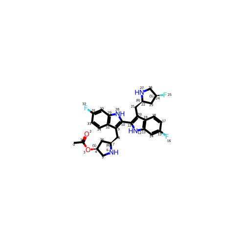 CC(=O)O[C@@H]1CN[C@H](Cc2c(-c3[nH]c4cc(F)ccc4c3C[C@@H]3C[C@H](F)CN3)[nH]c3cc(F)ccc23)C1